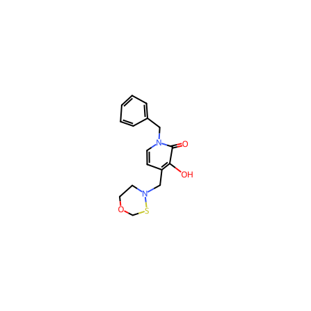 O=c1c(O)c(CN2CCOCS2)ccn1Cc1ccccc1